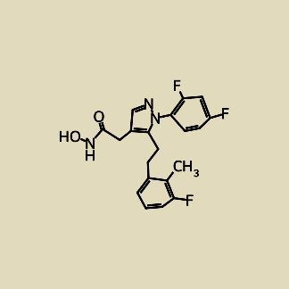 Cc1c(F)cccc1CCc1c(CC(=O)NO)cnn1-c1ccc(F)cc1F